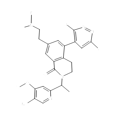 CCOc1cc(C(C)N2CCc3c(cc(CCN(C)CC)cc3-c3cc(Cl)nnc3Cl)C2=O)ncc1C#N